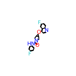 O=C(Nc1ccc(F)cc1)N1CC2C(C1)C2Oc1ccnc2ccc(F)cc12